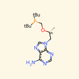 C[C@H](Cn1cnc2c(N)ncnc21)OCP(C(C)(C)C)C(C)(C)C